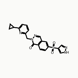 O=c1c2ccc(S(=O)(=O)c3cn[nH]c3)cc2cnn1Cc1cccc(C2CC2)n1